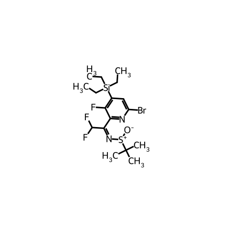 CC[Si](CC)(CC)c1cc(Br)nc(/C(=N\[S+]([O-])C(C)(C)C)C(F)F)c1F